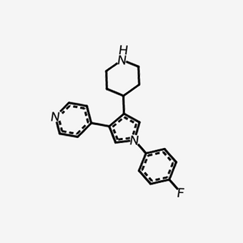 Fc1ccc(-n2cc(-c3ccncc3)c(C3CCNCC3)c2)cc1